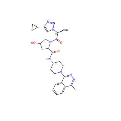 Cc1nnc(N2CCC(NC(=O)C3CC(O)CN3C(=O)[C@@H](n3cc(C4CC4)nn3)C(C)(C)C)CC2)c2ccccc12